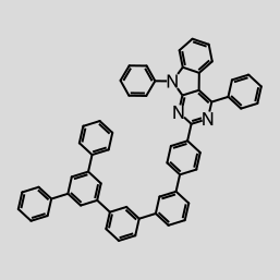 c1ccc(-c2cc(-c3ccccc3)cc(-c3cccc(-c4cccc(-c5ccc(-c6nc(-c7ccccc7)c7c8ccccc8n(-c8ccccc8)c7n6)cc5)c4)c3)c2)cc1